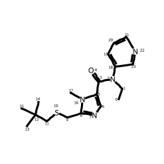 CCN(C(=O)c1cnc(CSCC(C)(C)C)n1C)c1cccnc1